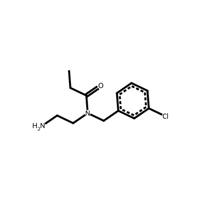 CCC(=O)N(CCN)Cc1cccc(Cl)c1